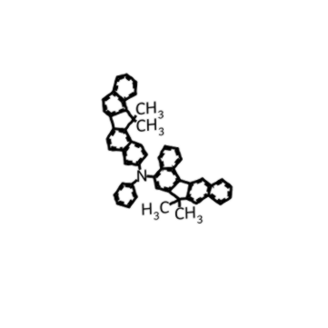 CC1(C)c2cc3ccccc3cc2-c2c1cc(N(c1ccccc1)c1ccc3c4c(ccc3c1)-c1ccc3ccccc3c1C4(C)C)c1ccccc21